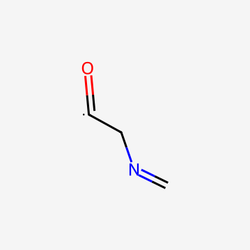 C=NC[C]=O